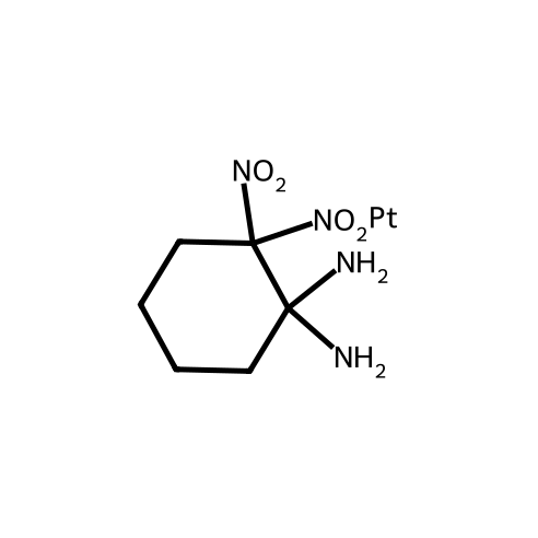 NC1(N)CCCCC1([N+](=O)[O-])[N+](=O)[O-].[Pt]